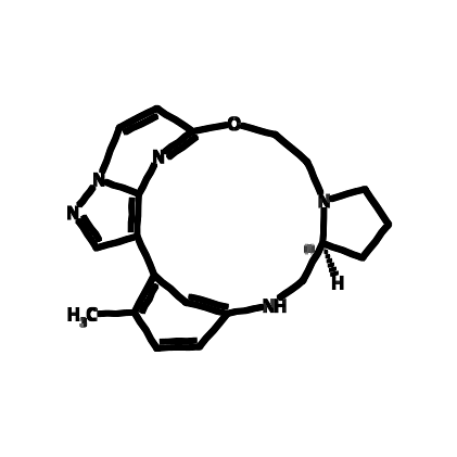 Cc1ccc2cc1-c1cnn3ccc(nc13)OCCN1CCC[C@H]1CN2